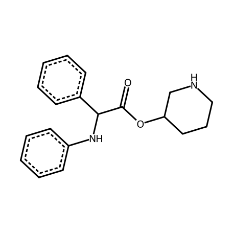 O=C(OC1CCCNC1)C(Nc1ccccc1)c1ccccc1